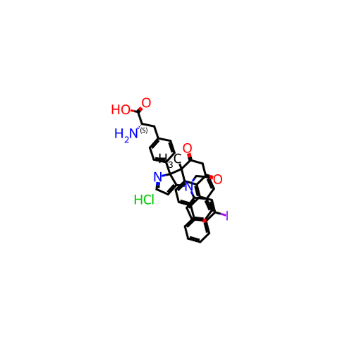 CC1(C2(c3ccc(C[C@H](N)C(=O)O)cc3)N=CC=C2N2CC=Cc3ccccc32)C(=O)CC(=O)c2c1ccc1c2cc(I)c2ccccc21.Cl